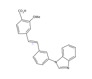 COc1cc(/C=C/c2cccc(-n3cnc4ccccc43)c2)ccc1C(=O)O